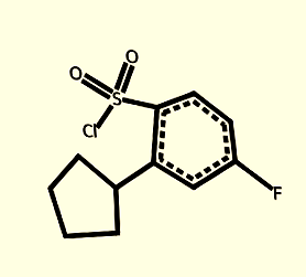 O=S(=O)(Cl)c1ccc(F)cc1C1CCCC1